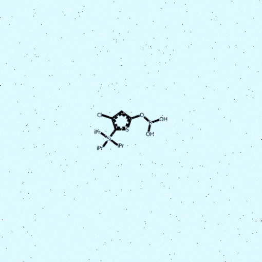 CC(C)[Si](c1sc(OB(O)O)cc1Cl)(C(C)C)C(C)C